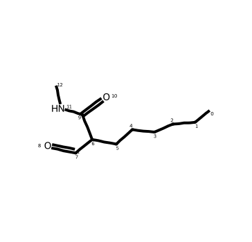 CCCCCCC([C]=O)C(=O)NC